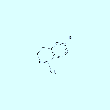 CC1=NCCc2cc(Br)ccc21